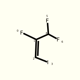 F/C(=C/I)C(F)F